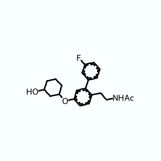 CC(=O)NCCc1ccc(OC2CCCC(O)C2)cc1-c1cccc(F)c1